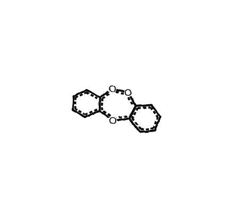 c1ccc2oc3ccccc3ooc2c1